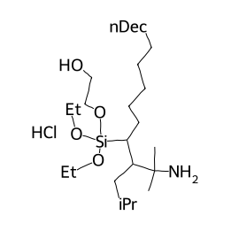 CCCCCCCCCCCCCCCC(C(CC(C)C)C(C)(C)N)[Si](OCC)(OCC)OCCO.Cl